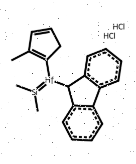 CC1=[C]([Hf]([CH]2c3ccccc3-c3ccccc32)=[Si](C)C)CC=C1.Cl.Cl